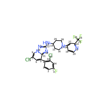 Fc1ccc(-c2cc(Cl)cn3nc(NC4CCN(c5ccnc(C(F)(F)F)c5)CC4)nc23)c(Cl)c1